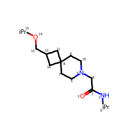 CC(C)NC(=O)CN1CCC2(CC1)CC(COC(C)C)C2